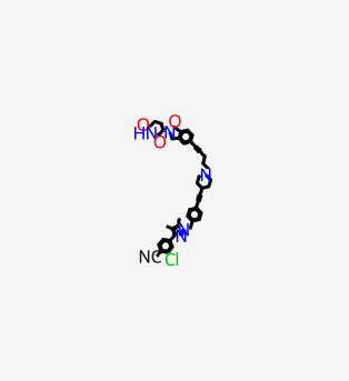 Cc1c(-c2ccc(C#N)c(Cl)c2)nn(Cc2ccc(C#CC3CCN(CCCC#Cc4ccc5c(c4)CN(C4CCC(=O)NC4=O)C5=O)CC3)cc2)c1C